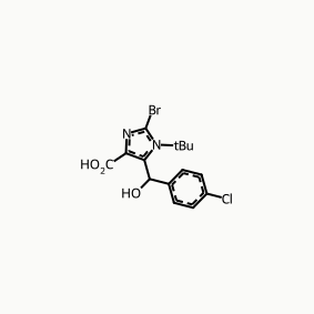 CC(C)(C)n1c(Br)nc(C(=O)O)c1C(O)c1ccc(Cl)cc1